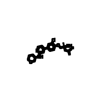 CC(C)C[C@](C)(N)COc1ccc(-c2ccnc(NC3CCCOC3)c2)cc1Cl